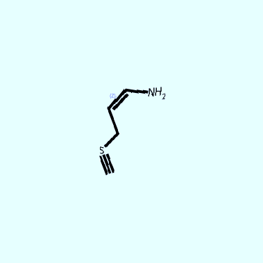 C#SC/C=C\N